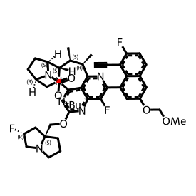 C#Cc1c(F)ccc2cc(OCOC)cc(-c3nc4c5c(nc(OC[C@@]67CCCN6C[C@H](F)C7)nc5c3F)N3C[C@H]5CC[C@@H]([C@@H]3[C@@H](C)[C@H]4C)N5C(=O)OC(C)(C)C)c12